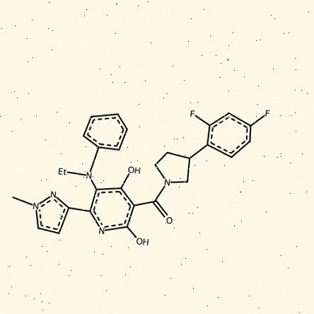 CCN(c1ccccc1)c1c(-c2ccn(C)n2)nc(O)c(C(=O)N2CCC(c3ccc(F)cc3F)C2)c1O